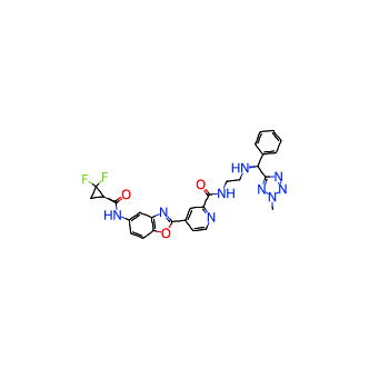 Cn1nnc([C@@H](NCCNC(=O)c2cc(-c3nc4cc(NC(=O)[C@H]5CC5(F)F)ccc4o3)ccn2)c2ccccc2)n1